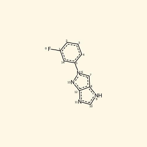 Fc1cccc(-n2cc3[nH][c]nc3n2)c1